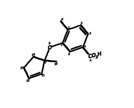 Cc1ccc(C(=O)O)cc1OC1(C)C=CCC1